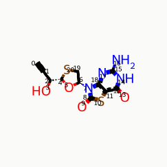 C#CC(O)[C@H]1O[C@@H](n2c(=O)sc3c(=O)[nH]c(N)nc32)CS1